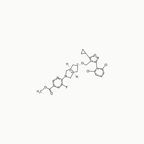 COC(=O)c1cnc(N2C[C@H]3C[C@H](OCc4c(-c5c(Cl)cccc5Cl)noc4C4CC4)C[C@H]3C2)c(F)c1